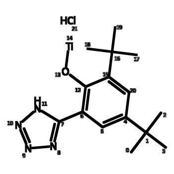 CC(C)(C)c1cc(-c2nnn[nH]2)c([O][Ti])c(C(C)(C)C)c1.Cl